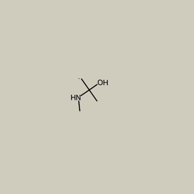 [CH2]C(C)(O)NC